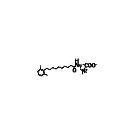 Cc1cccc(C)c1CCCCCCCCCC(=O)N[C@H](CC(=O)[O-])C[N+](C)(C)C